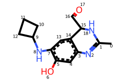 CC1=Nc2cc(O)c(NC3CCC3)cc2C(C=O)N1